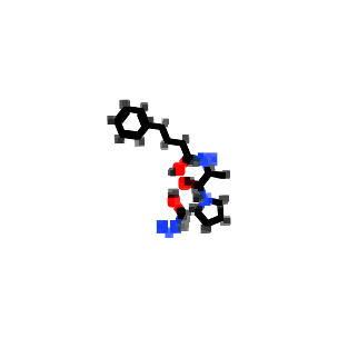 C[C@H](NC(=O)CCCc1ccccc1)C(=O)N1CCC[C@@H]1C(N)=O